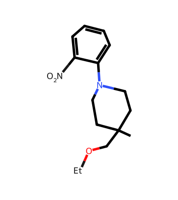 CCOCC1(C)CCN(c2ccccc2[N+](=O)[O-])CC1